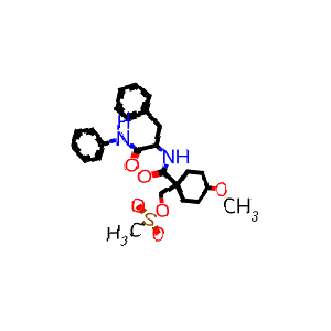 COC1CCC(COS(C)(=O)=O)(C(=O)NC(Cc2ccccc2)C(=O)Nc2ccccc2)CC1